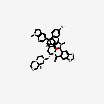 Cc1c(C(=O)N(c2ccc(O)cc2)c2cnc3c(c2)CCN3C)cc(-c2cc3c(cc2C(=O)N2Cc4ccccc4C[C@H]2CN2CCN4CCOC[C@@H]4C2)OCO3)n1C